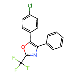 FC(F)(F)c1nc(-c2ccccc2)c(-c2ccc(Cl)cc2)o1